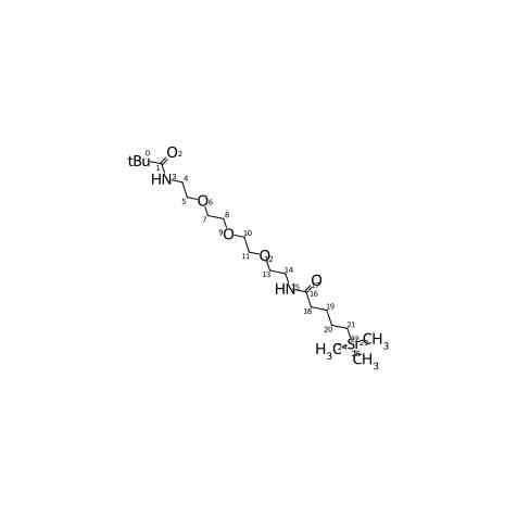 CC(C)(C)C(=O)NCCOCCOCCOCCNC(=O)CCCC[Si](C)(C)C